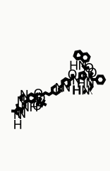 CN[C@@H](C)CN[C@H](C(=O)N1C[C@@H](NC(=O)c2ccc(N3CCC(CCCOc4cc5ncnc(Nc6n[nH]c(C)c6C)c5cc4S(=O)(=O)C(C)(C)C)CC3)nc2)C[C@H]1C(=O)N[C@@H]1CCCc2ccccc21)C1CCCCC1